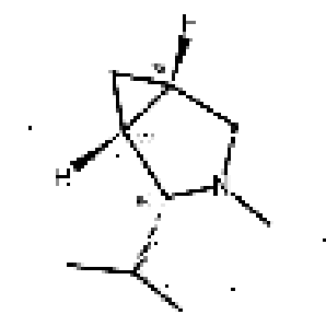 CC(C)[C@@H]1[C@@H]2C[C@@H]2CN1C